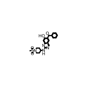 CS(=O)(=O)N1CCC(Nc2ncc3cc(C(=O)c4ccccc4)c(O)cc3n2)CC1